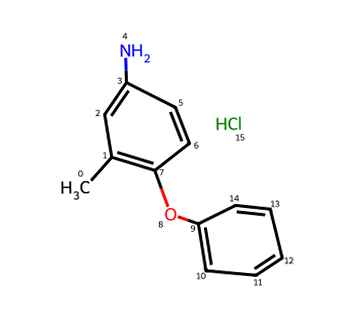 Cc1cc(N)ccc1Oc1ccccc1.Cl